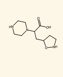 O=C(O)C(CC1CCNO1)N1CCNCC1